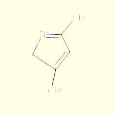 CC1=CC(C)=NC1